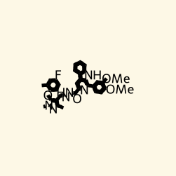 COc1ccc(-c2nc(C(=O)N/N=C/c3c(C)nn(C)c3Oc3ccc(F)cc3C)cc3c2[nH]c2ccccc23)cc1OC